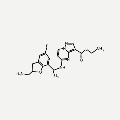 CCOC(=O)c1cnn2ccc(NC(C)c3cc(F)cc4c3OC(CN)C4)nc12